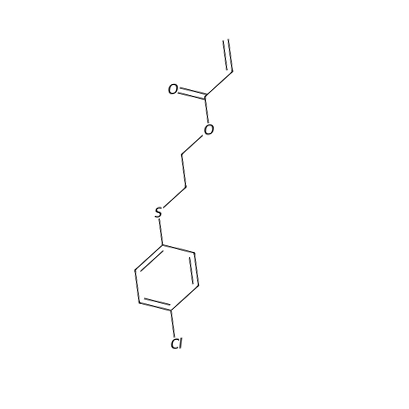 C=CC(=O)OCCSc1ccc(Cl)cc1